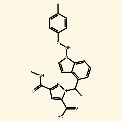 CNC(=O)c1cc(C(=O)O)n(C(C)c2cccc3c2ccn3NOc2ccc(C)cc2)n1